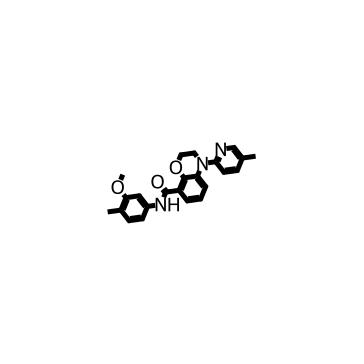 COc1cc(NC(=O)c2cccc3c2OCCN3c2ccc(C)cn2)ccc1C